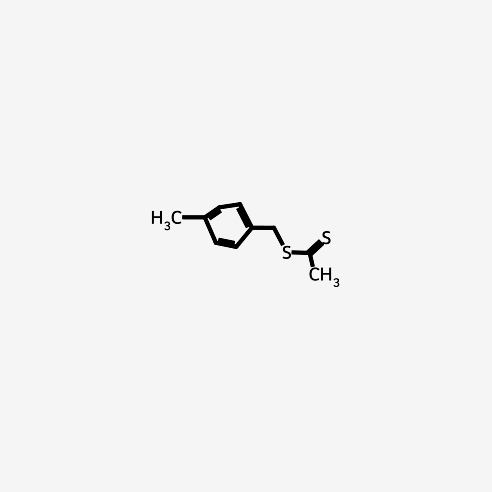 CC(=S)SCc1ccc(C)cc1